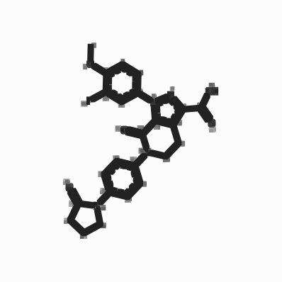 COc1ccc(-n2nc(C(=O)O)c3c2C(=O)N(c2ccc(N4CCCC4=O)cc2)CC3)cc1F